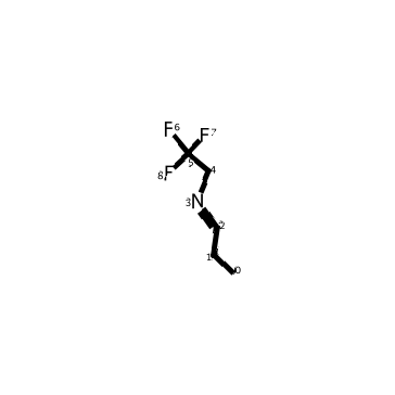 CCC=NCC(F)(F)F